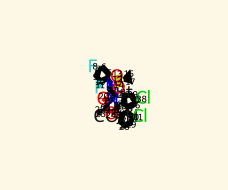 CCC(CN(c1ccc(F)cc1F)S(=O)(=O)C1CC1)N1C(=O)[C@H](CC(=O)O)O[C@H](c2cccc(Cl)c2)[C@H]1c1ccc(Cl)cc1